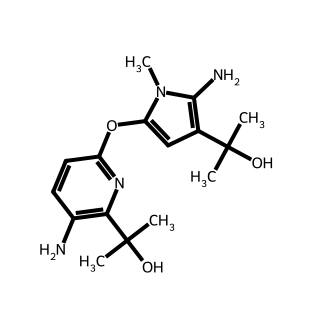 Cn1c(Oc2ccc(N)c(C(C)(C)O)n2)cc(C(C)(C)O)c1N